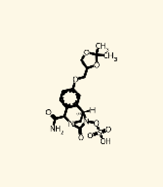 CC1(C)OCC(COc2ccc3c(c2)[C@H]2CN(C(=O)N2OS(=O)(=O)O)C3C(N)=O)O1